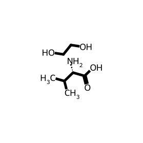 CC(C)[C@H](N)C(=O)O.OCCO